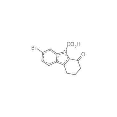 O=C1CCCc2c1n(C(=O)O)c1cc(Br)ccc21